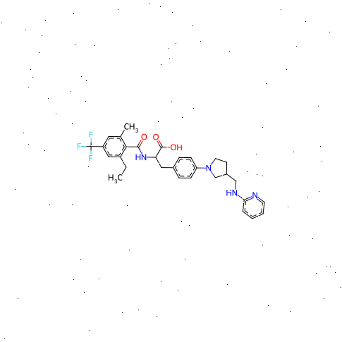 CCc1cc(C(F)(F)F)cc(C)c1C(=O)NC(Cc1ccc(N2CCC(CNc3ccccn3)C2)cc1)C(=O)O